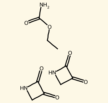 CCOC(N)=O.O=C1CNC1=O.O=C1CNC1=O